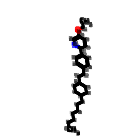 CCCCCCCC1CCC(CCc2ccc(-c3ccc(OCC)cn3)cc2)CC1